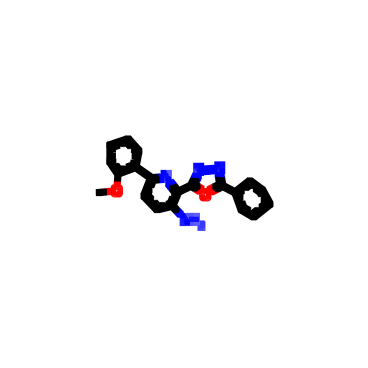 COc1ccccc1-c1ccc(N)c(-c2nnc(-c3ccccc3)o2)n1